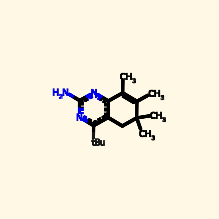 CC1=C(C)C(C)(C)Cc2c1nc(N)nc2C(C)(C)C